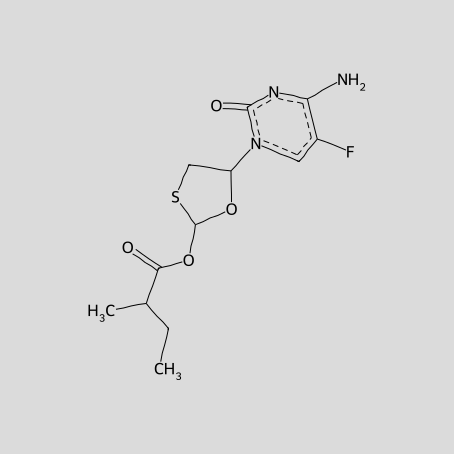 CCC(C)C(=O)OC1OC(n2cc(F)c(N)nc2=O)CS1